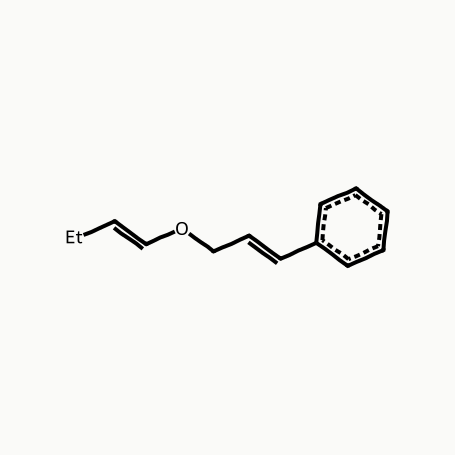 CCC=COCC=Cc1ccccc1